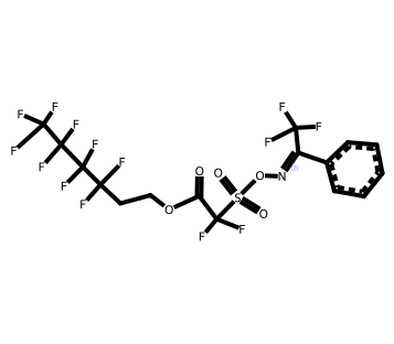 O=C(OCCC(F)(F)C(F)(F)C(F)(F)C(F)(F)F)C(F)(F)S(=O)(=O)O/N=C(/c1ccccc1)C(F)(F)F